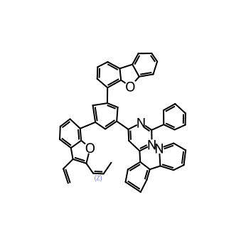 C=Cc1c(/C=C\C)oc2c(-c3cc(-c4cc(-c5ccccc5-c5ccccn5)nc(-c5ccccc5)n4)cc(-c4cccc5c4oc4ccccc45)c3)cccc12